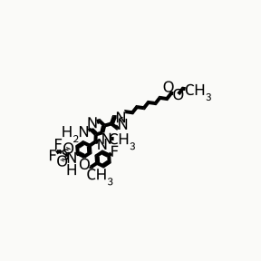 CCOC(=O)CCCCCCCCn1cc(-c2cnc(N)c3c(-c4ccc(NS(=O)(=O)C(F)F)c(OC(C)c5ccc(F)cc5)c4)nn(C)c23)cn1